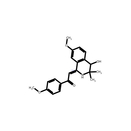 COc1ccc(C(=O)/C=C2\NC(C)(C)C(O)c3ccc(OC)cc32)cc1